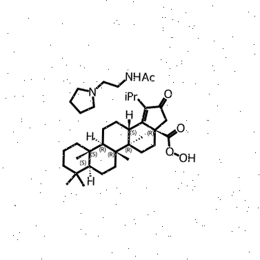 CC(=O)NCCN1CCCC1.CC(C)C1=C2[C@H]3CC[C@@H]4[C@@]5(C)CCCC(C)(C)[C@@H]5CC[C@@]4(C)[C@]3(C)CC[C@@]2(C(=O)OO)CC1=O